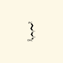 CC(C)CCOCOC=O